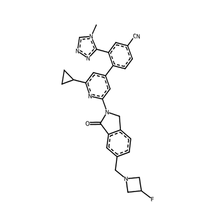 Cn1cnnc1-c1cc(C#N)ccc1-c1cc(C2CC2)nc(N2Cc3ccc(CN4CC(F)C4)cc3C2=O)c1